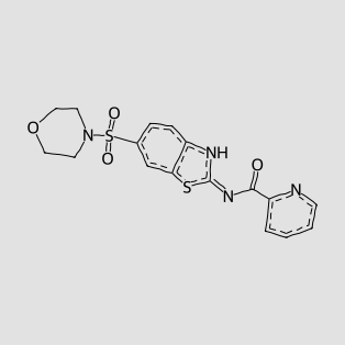 O=C(/N=c1\[nH]c2ccc(S(=O)(=O)N3CCOCC3)cc2s1)c1ccccn1